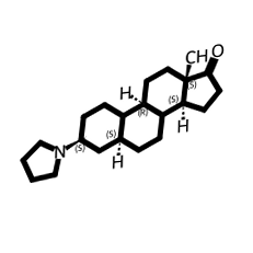 C[C@]12CC[C@@H]3C4CC[C@H](N5CCCC5)C[C@@H]4CCC3[C@@H]1CCC2=O